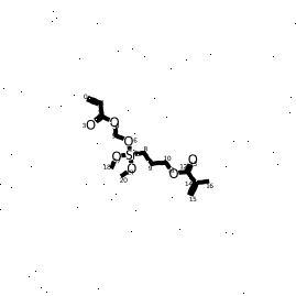 C=CC(=O)OCO[Si](CCCOC(=O)C(=C)C)(OC)OC